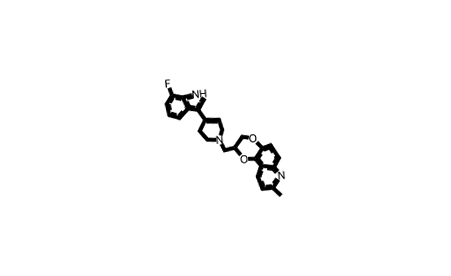 Cc1ccc2c3c(ccc2n1)OCC(CN1CC=C(c2c[nH]c4c(F)cccc24)CC1)O3